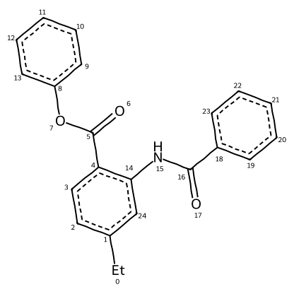 CCc1ccc(C(=O)Oc2ccccc2)c(NC(=O)c2ccccc2)c1